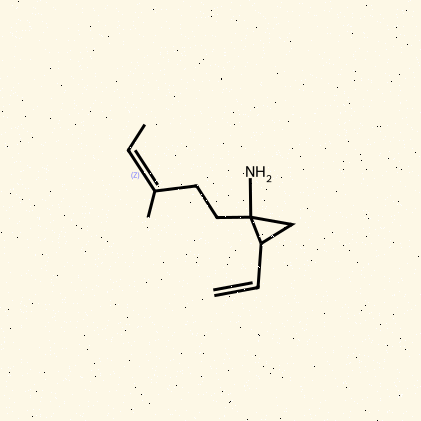 C=CC1CC1(N)CC/C(C)=C\C